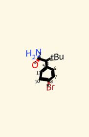 CC(C)(C)C(C(N)=O)c1ccc(Br)cc1